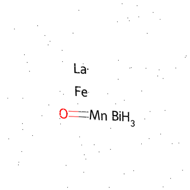 [BiH3].[Fe].[La].[O]=[Mn]